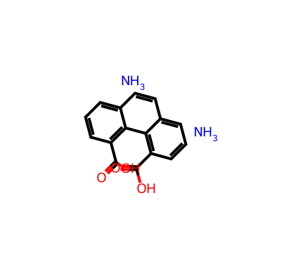 N.N.O=C(O)c1cccc2ccc3cccc(C(=O)O)c3c12